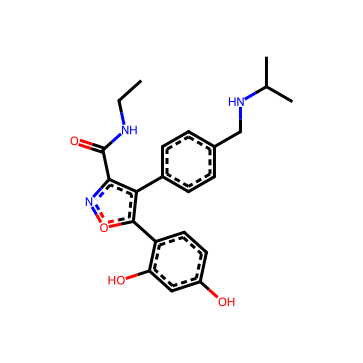 CCNC(=O)c1noc(-c2ccc(O)cc2O)c1-c1ccc(CNC(C)C)cc1